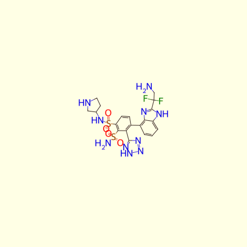 NCC(F)(F)c1nc2c(-c3ccc(S(=O)(=O)NC4CCNC4)c(S(N)(=O)=O)c3-c3nn[nH]n3)cccc2[nH]1